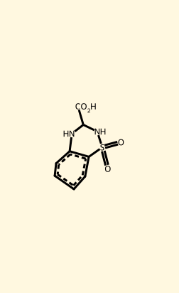 O=C(O)C1Nc2ccccc2S(=O)(=O)N1